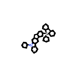 c1ccc(-n2c3ccccc3c3cc4c(cc32)Cc2ccc([Si]3(c5ccccc5)c5ccccc5-c5ccccc53)cc2-4)cc1